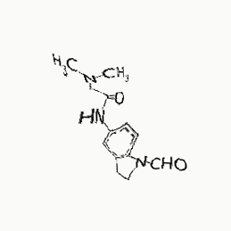 CN(C)CC(=O)Nc1ccc2c(c1)CCN2C=O